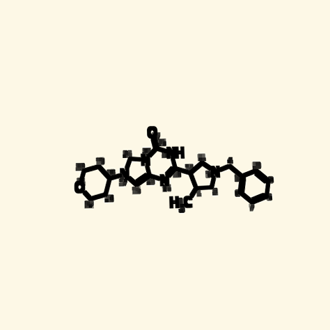 CC1CN(Cc2ccccc2)CC1C1=NC2=CN(C3CCOCC3)CN2C(=O)N1